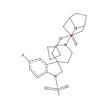 CS(=O)(=O)N1CC2(CCN(C3CC4CCC(C3)N4C(=O)OC3CCC3)CC2)c2cc(F)ccc21